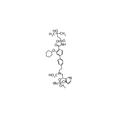 CC(C)(O)CCS(=O)(=O)NC(=O)c1ccc(-c2ccc(CCN(C[C@H](O[Si](C)(C)C(C)(C)C)c3cccnc3)C(=O)O)cc2)cc1OC1CCCCC1